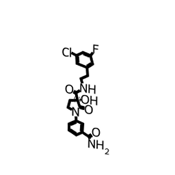 NC(=O)c1cccc(N2CC[C@@](O)(C(=O)NCCc3cc(F)cc(Cl)c3)C2=O)c1